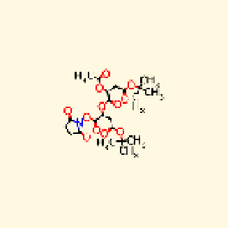 CC(=O)O[C@@H](CC(=O)OC(C)(C)C)C(=O)O[C@@H](CC(=O)OC(C)(C)C)C(=O)ON1C(=O)CCC1=O